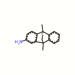 CC12CCC(C)(c3ccccc31)c1cc(N)ccc12